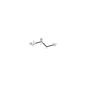 CNCCl